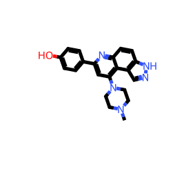 CN1CCN(c2cc(-c3ccc(O)cc3)nc3ccc4[nH]ncc4c23)CC1